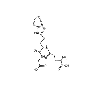 NC(CCC(=O)NC(CSc1nc2ncncc2[nH]1)C(=O)NCC(=O)O)C(=O)O